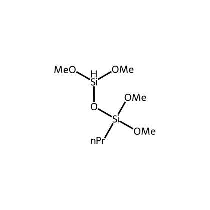 CCC[Si](OC)(OC)O[SiH](OC)OC